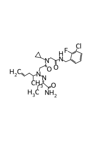 C=CCC(C)N(CC(=O)N(CC(=O)NCc1cccc(Cl)c1F)C1CC1)/N=C(\CC)C(N)=O